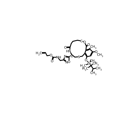 C=CCOC(=O)NCc1noc([C@@H]2CSCc3c(O[Si](C)(C)C(C)(C)C(C)C)cc(OC)c(C)c3C(=O)OCCCCC(=O)N2)n1